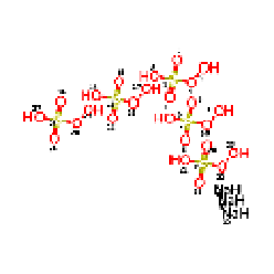 O=S(=O)(O)OO.O=S(=O)(O)OO.O=S(=O)(O)OO.O=S(=O)(O)OO.O=S(=O)(O)OO.[NaH].[NaH].[NaH]